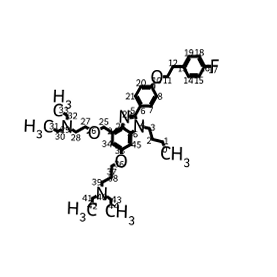 CCCCn1c(-c2ccc(OCCc3ccc(F)cc3)cc2)nc2c(COCCN(CC)CC)cc(OCCCN(CC)CC)cc21